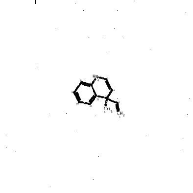 C=CC1(C)C=CNc2ccccc21